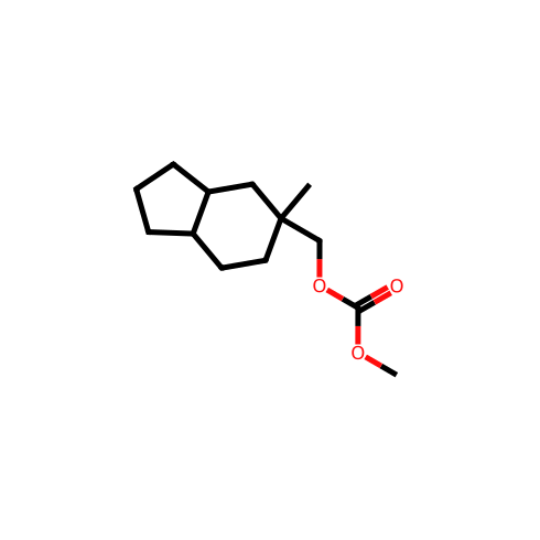 COC(=O)OCC1(C)CCC2CCCC2C1